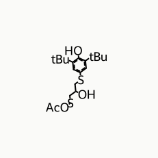 CC(=O)OSCC(O)CSc1cc(C(C)(C)C)c(O)c(C(C)(C)C)c1